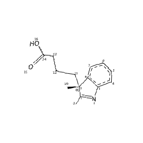 CC1=Nc2ccccc2[C@@]1(C)CCCC(=O)O